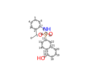 CCc1ccccc1NS(=O)(=O)c1ccc2c(O)cccc2c1